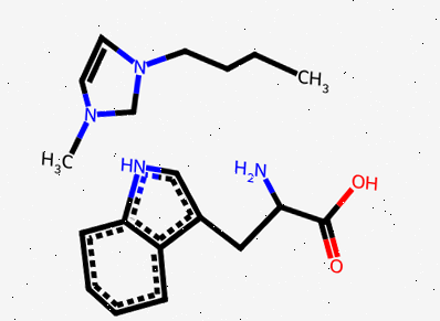 CCCCN1C=CN(C)C1.NC(Cc1c[nH]c2ccccc12)C(=O)O